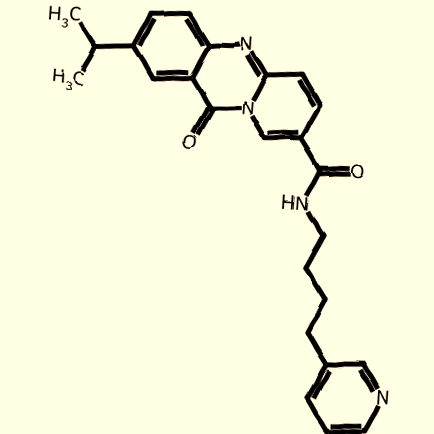 CC(C)c1ccc2nc3ccc(C(=O)NCCCCc4cccnc4)cn3c(=O)c2c1